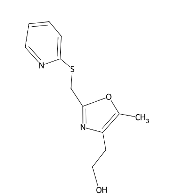 Cc1oc(CSc2ccccn2)nc1CCO